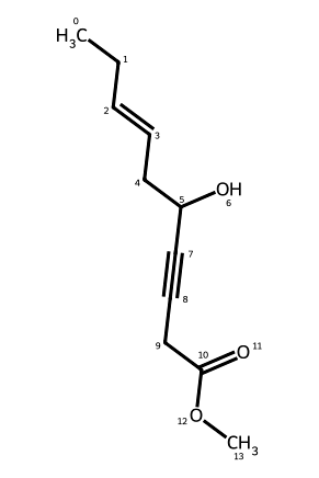 CCC=CCC(O)C#CCC(=O)OC